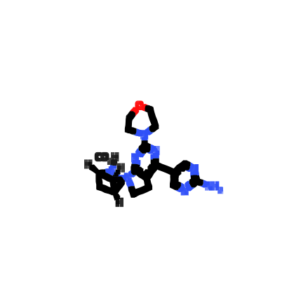 Nc1ncc(-c2nc(N3CCOCC3)nc3c2CCN3[C@H]2[C@H]3C[C@@H]2N(C(=O)O)C3)cn1